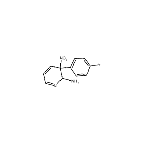 NC1N=CC=CC1(c1ccc(F)cc1)[N+](=O)[O-]